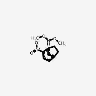 CONOC.O=[N+]([O-])c1ccc2cc1CC2